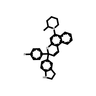 CC1CCCCN1c1cc2c(c3ccccc13)C=CC(c1ccc(F)cc1)(c1ccc3c(c1)CCN3)O2